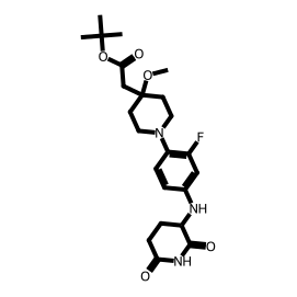 COC1(CC(=O)OC(C)(C)C)CCN(c2ccc(NC3CCC(=O)NC3=O)cc2F)CC1